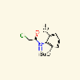 Cc1cccc(OCC(C)C)c1NC(=O)CCl